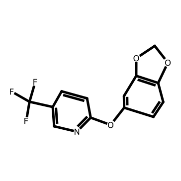 FC(F)(F)c1ccc(Oc2ccc3c(c2)OCO3)nc1